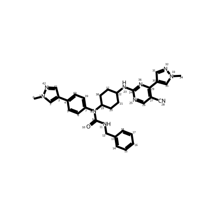 Cn1cc(-c2ccc(N(C(=O)NCc3ccccc3)C3CCC(Nc4ncc(C#N)c(-c5cnn(C)c5)n4)CC3)cc2)cn1